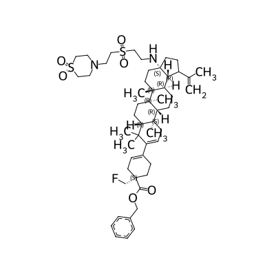 C=C(C)C1CC[C@]2(NCCS(=O)(=O)CCN3CCS(=O)(=O)CC3)CC[C@]3(C)[C@H](CC[C@@H]4[C@@]5(C)CC=C(C6=CC[C@](CF)(C(=O)OCc7ccccc7)CC6)C(C)(C)[C@@H]5CC[C@]43C)[C@@H]12